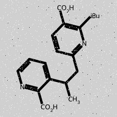 CCC(C)c1nc(CC(C)c2cccnc2C(=O)O)ccc1C(=O)O